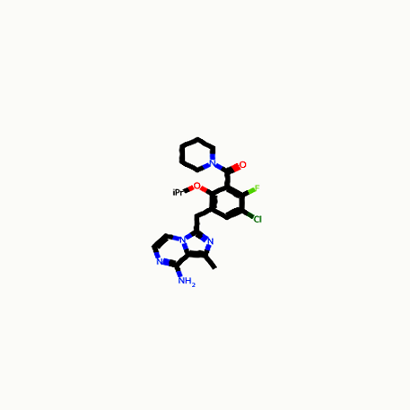 Cc1nc(Cc2cc(Cl)c(F)c(C(=O)N3CCCCC3)c2OC(C)C)n2ccnc(N)c12